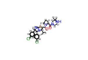 CC(C)C1=C(C(=O)N2[C@H](C)CC[C@H]2C(=O)N2CCNC(C)(C)C2)SC2=N[C@@](C)(c3ccc(Cl)cc3)[C@@H](c3ccc(Cl)cc3)N21